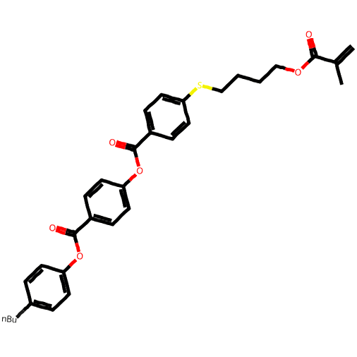 C=C(C)C(=O)OCCCCSc1ccc(C(=O)Oc2ccc(C(=O)Oc3ccc(CCCC)cc3)cc2)cc1